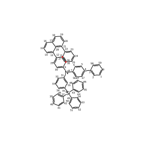 c1ccc(-c2ccc(N(c3ccc(-c4cccc5cccc(-c6ccccc6)c45)cc3)c3cccc([Si](c4ccccc4)(c4ccccc4)c4ccccc4)c3)cc2)cc1